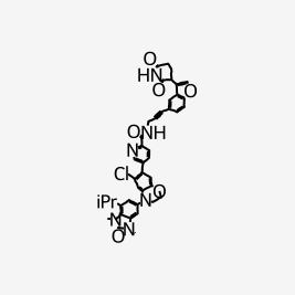 CC(C)c1cc(N2CCOc3cc(-c4ccc(C(=O)NCC#Cc5ccc6occ(C7CCC(=O)NC7=O)c6c5)nc4)c(Cl)cc32)cc2c1n(C)c(=O)n2C